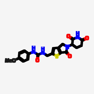 COc1ccc(NC(=O)NCc2cc3c(s2)C(=O)N(C2CCC(=O)NC2=O)C3)cc1